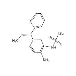 CC=C(c1ccccc1)c1ccc(N)c(NS(=O)(=O)C(C)(C)C)c1